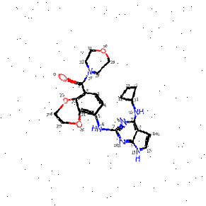 O=C(c1ccc(Nc2nc(NC3CCC3)c3cc[nH]c3n2)c2c1OCCO2)N1CCOCC1